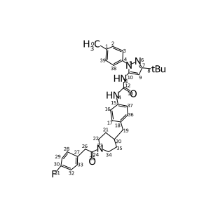 Cc1ccc(-n2nc(C(C)(C)C)cc2NC(=O)Nc2ccc(CC3CCN(C(=O)Cc4ccc(F)cc4)CC3)cc2)cc1